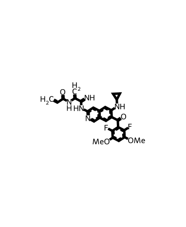 C=CC(=O)NC(=C)C(=N)Nc1cc2cc(NC3CC3)c(C(=O)c3c(F)c(OC)cc(OC)c3F)cc2cn1